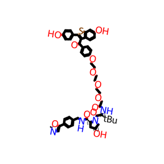 CC(C)(C)[C@H](NC(=O)COCCOCCOCCOc1ccc(C(=O)c2c(-c3ccc(O)cc3)sc3cc(O)ccc23)cc1)C(=O)N1C[C@H](O)C[C@H]1C(=O)NCc1ccc(-c2cnco2)cc1